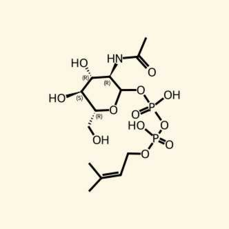 CC(=O)N[C@H]1C(OP(=O)(O)OP(=O)(O)OCC=C(C)C)O[C@H](CO)[C@@H](O)[C@@H]1O